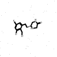 O=C1CN[C@@H](CCc2cc(F)cc(Cl)c2CCl)CN1